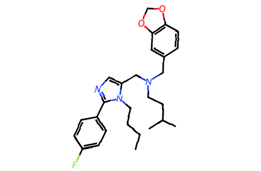 CCCCn1c(CN(CCC(C)C)Cc2ccc3c(c2)OCO3)cnc1-c1ccc(F)cc1